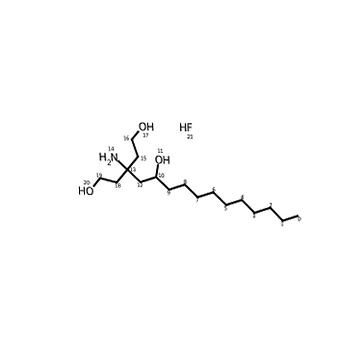 CCCCCCCCCCC(O)CC(N)(CCO)CCO.F